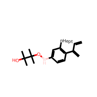 C=CC(=C)c1ccc(BOC(C)(C)C(C)(C)O)cc1CCCCCCC